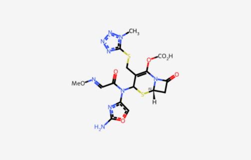 CON=CC(=O)N(c1coc(N)n1)C1S[C@H]2CC(=O)N2C(OC(=O)O)=C1CSc1nnnn1C